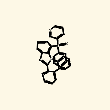 S=P(c1ccccc1)(c1cccnc1)c1cccc2nc3c4ccccc4c4ccccc4n3c12